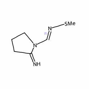 CS/N=C/N1CCCC1=N